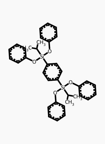 CC(C)[Si](Oc1ccccc1)(Oc1ccccc1)c1ccc([Si](Oc2ccccc2)(Oc2ccccc2)C(C)C)cc1